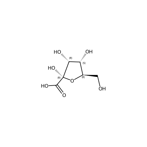 O=C(O)[C@]1(O)O[C@H](CO)[C@@H](O)[C@H]1O